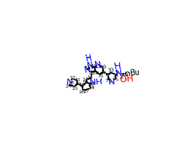 CCCCC(O)Nc1cncc(-c2cnc3[nH]nc(-c4cc5c(-c6ccncc6)cccc5[nH]4)c3c2)c1